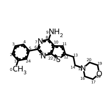 Cc1cccc(-c2nc(N)c3cc(CCN4CCOCC4)sc3n2)c1